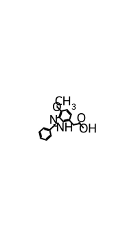 COc1ccc(CC(=O)O)c2[nH]c(-c3ccccc3)nc12